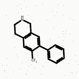 FC(F)(F)c1cc2c(cc1-c1ccccc1)CNCC2